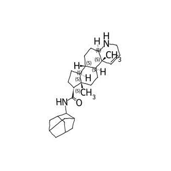 C[C@]12C=CCN[C@@H]1CC[C@@H]1[C@@H]2CC[C@]2(C)[C@@H](C(=O)NC3C4CC5CC(C4)CC3C5)CC[C@@H]12